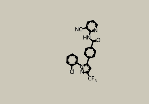 N#Cc1cccnc1NC(=O)c1ccc(-c2cc(C(F)(F)F)nn2-c2ccccc2Cl)cc1